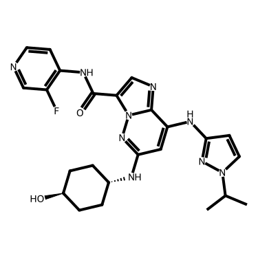 CC(C)n1ccc(Nc2cc(N[C@H]3CC[C@H](O)CC3)nn3c(C(=O)Nc4ccncc4F)cnc23)n1